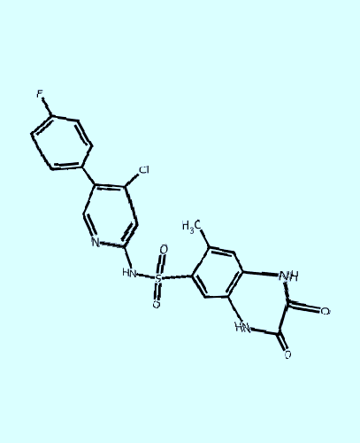 Cc1cc2[nH]c(=O)c(=O)[nH]c2cc1S(=O)(=O)Nc1cc(Cl)c(-c2ccc(F)cc2)cn1